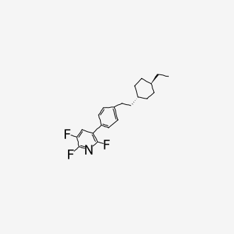 CC[C@H]1CC[C@H](CCc2ccc(-c3cc(F)c(F)nc3F)cc2)CC1